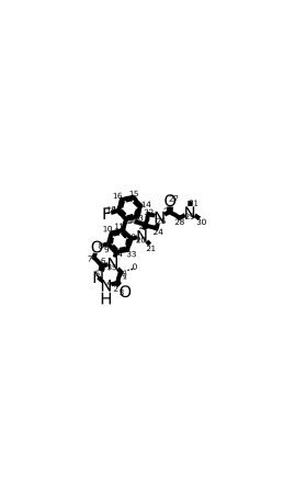 C[C@@H]1C(=O)NN=C2COc3cc(-c4ccccc4F)c(N(C)C4(C)CN(C(=O)CN(C)C)C4)cc3N21